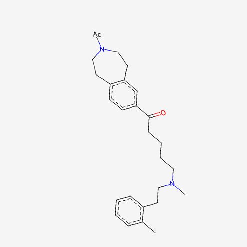 CC(=O)N1CCc2ccc(C(=O)CCCCN(C)CCc3ccccc3C)cc2CC1